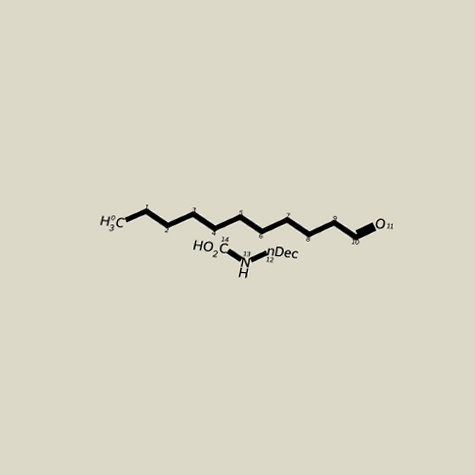 CCCCCCCCCCC=O.CCCCCCCCCCNC(=O)O